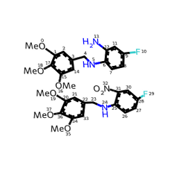 COc1cc(CNc2ccc(F)cc2N)cc(OC)c1OC.COc1cc(CNc2ccc(F)cc2[N+](=O)[O-])cc(OC)c1OC